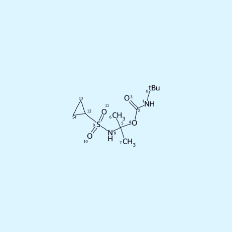 CC(C)(C)NC(=O)OC(C)(C)NS(=O)(=O)C1CC1